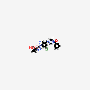 Cc1c(CN2CCN(C(=O)c3ccccc3)[C@@H](C)C2)cc(Cl)cc1Nc1nnc(C2(O)CC2)o1